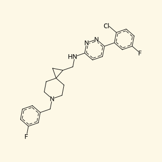 Fc1cccc(CN2CCC3(CC2)CC3CNc2ccc(-c3cc(F)ccc3Cl)nn2)c1